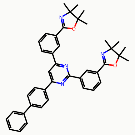 CC1(C)N=C(c2cccc(-c3cc(-c4ccc(-c5ccccc5)cc4)nc(-c4cccc(C5=NC(C)(C)C(C)(C)O5)c4)n3)c2)OC1(C)C